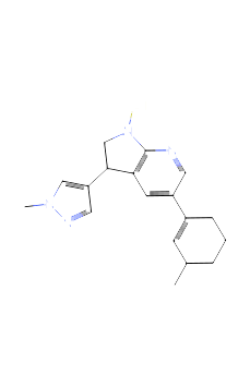 CC1C=C(c2cnc3c(c2)C(c2cnn(C)c2)CN3S)CCC1